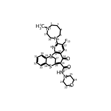 CN1CCCCN(c2nc3c(cc2F)C(=O)C(C(=O)NN2CCOCC2)=C2CN3c3ccccc3S2)CC1